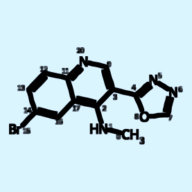 CNc1c(-c2nnco2)cnc2ccc(Br)cc12